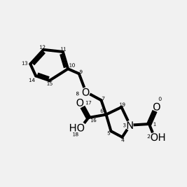 O=C(O)N1CCC(COCc2ccccc2)(C(=O)O)C1